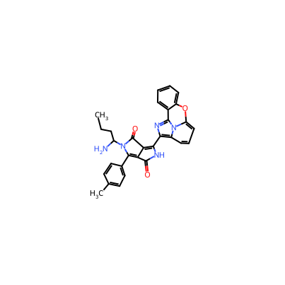 CCCC(N)N1C(=O)C2=C(c3nc4n5c(cccc35)Oc3ccccc3-4)NC(=O)C2=C1c1ccc(C)cc1